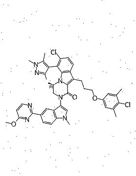 COc1ccnc(-c2ccc3c(c2)c(N2C[C@@H](C)n4c(c(CCCOc5cc(C)c(Cl)c(C)c5)c5ccc(Cl)c(-c6c(C)nn(C)c6C)c54)C2=O)cn3C)n1